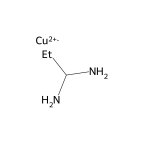 CCC(N)N.[Cu+2]